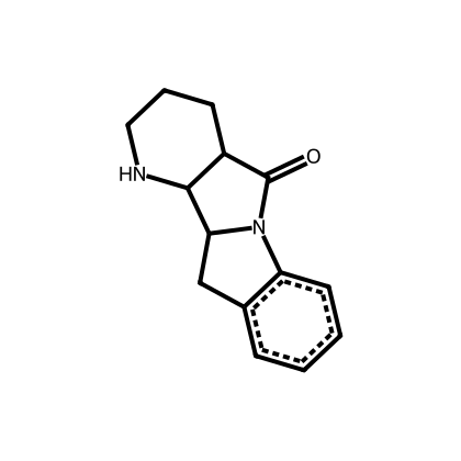 O=C1C2CCCNC2C2Cc3ccccc3N12